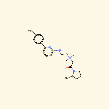 COc1ccc(-c2cccc(NCC[N+](C)(C)CC(=O)N3CCC[C@H]3C#N)n2)cc1